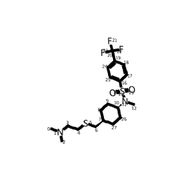 CN(C)CCSC[C@H]1CC[C@H](N(C)S(=O)(=O)c2ccc(C(F)(F)F)cc2)CC1